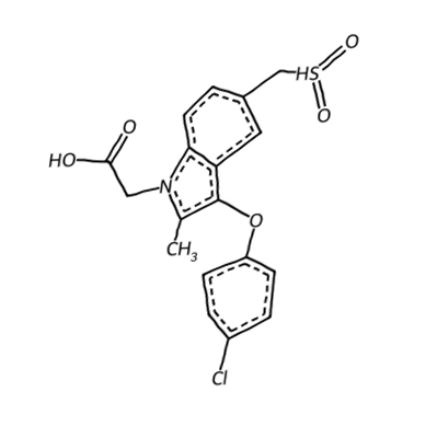 Cc1c(Oc2ccc(Cl)cc2)c2cc(C[SH](=O)=O)ccc2n1CC(=O)O